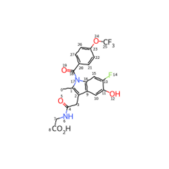 Cc1c(CC(=O)NCC(=O)O)c2cc(O)c(F)cc2n1C(=O)c1ccc(OC(F)(F)F)cc1